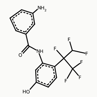 Nc1cccc(C(=O)Nc2cc(O)ccc2C(F)(C(F)F)C(F)(F)F)c1